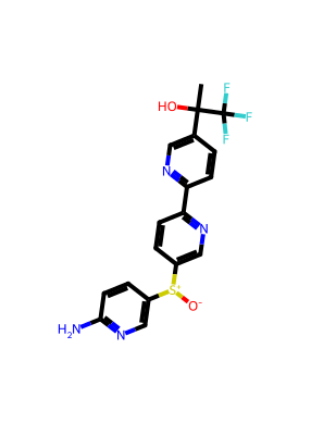 CC(O)(c1ccc(-c2ccc([S+]([O-])c3ccc(N)nc3)cn2)nc1)C(F)(F)F